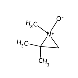 CC1(C)C[N+]1(C)[O-]